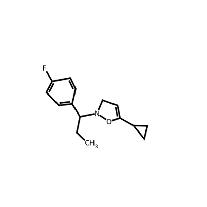 CCC(c1ccc(F)cc1)N1CC=C(C2CC2)O1